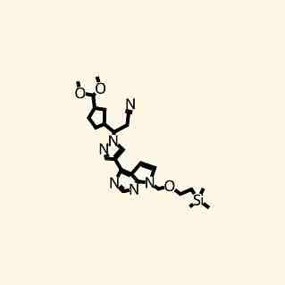 COC(OC)C1CCC(C(CC#N)n2cc(-c3ncnc4c3ccn4COCC[Si](C)(C)C)cn2)C1